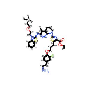 CCOC(=O)c1nc(N2CCCc3c2nnc(/N=c2\sc4ccccc4n2CCOCC[Si](C)(C)C)c3C)sc1CCCOc1ccc(CCN)cc1F